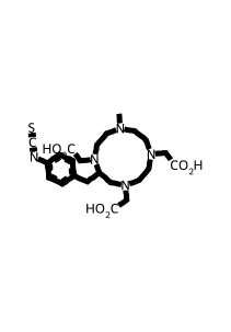 CN1CCN(CC(=O)O)CCN(CC(=O)O)CC(Cc2ccc(N=C=S)cc2)N(CC(=O)O)CC1